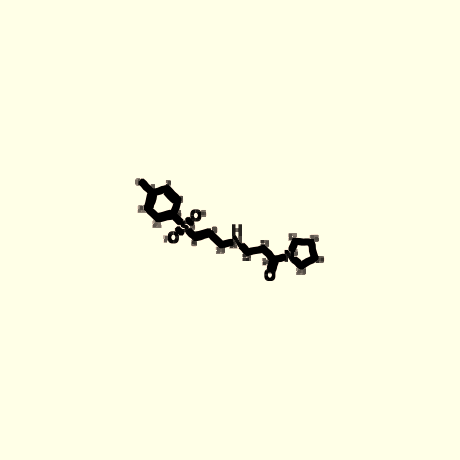 Cc1ccc(S(=O)(=O)C=CCNCCC(=O)N2CCCC2)cc1